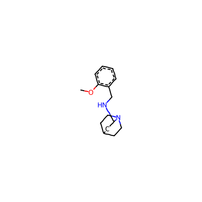 COc1ccccc1CNC1CC2CCN1CC2